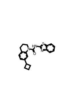 O=C(Nc1nc2ccccc2s1)N1CCCc2ccc(C3C[CH]C3)cc21